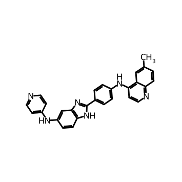 Cc1ccc2nccc(Nc3ccc(-c4nc5cc(Nc6ccncc6)ccc5[nH]4)cc3)c2c1